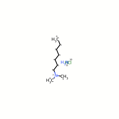 CCCCCCCN(C)C.Cl.N